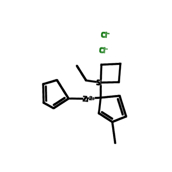 CC[Si]1([C]2([Zr+2][C]3=CC=CC3)C=CC(C)=C2)CCC1.[Cl-].[Cl-]